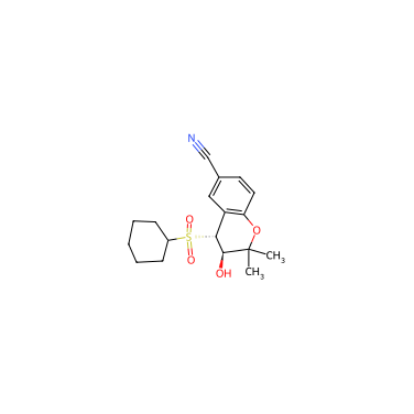 CC1(C)Oc2ccc(C#N)cc2[C@@H](S(=O)(=O)C2CCCCC2)[C@@H]1O